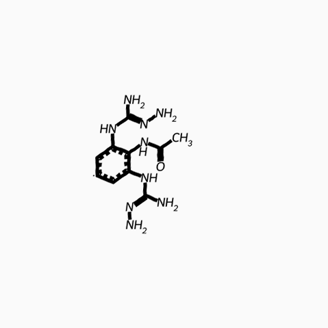 CC(=O)Nc1c(NC(N)=NN)c[c]cc1NC(N)=NN